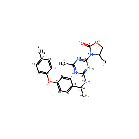 CCC1COC(=O)N1c1nc(C)nc(N[C@@H](C)c2ccc(Oc3ccc(C)cc3)cc2)n1